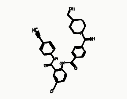 C#Cc1ccc(NC(=O)c2cc(Cl)ccc2NC(=O)c2ccc(C(=N)N3CCC(CO)CC3)cc2)cc1